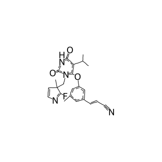 Cc1cc(/C=C/C#N)cc(Oc2c(C(C)C)c(=O)[nH]c(=O)n2CC2(C)C=CN=C2F)c1